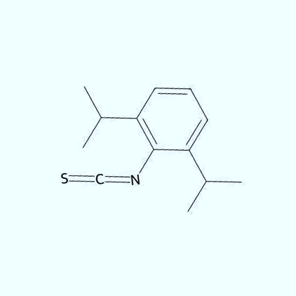 CC(C)c1cccc(C(C)C)c1N=C=S